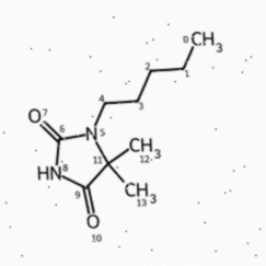 CCCCCN1C(=O)NC(=O)C1(C)C